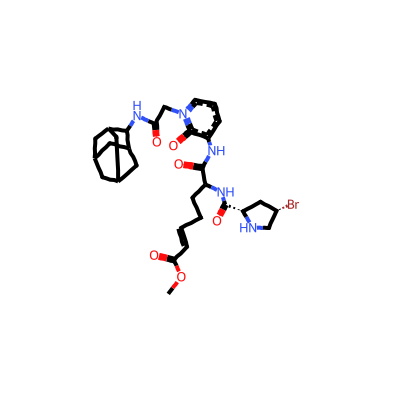 COC(=O)/C=C/CCC(NC(=O)[C@@H]1C[C@H](Br)CN1)C(=O)Nc1cccn(CC(=O)NC2C3CC4CC(C3)CC2C4)c1=O